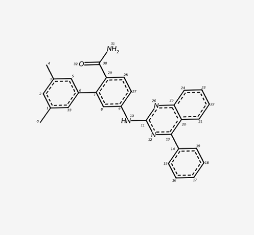 Cc1cc(C)cc(-c2cc(Nc3nc(-c4ccccc4)c4ccccc4n3)ccc2C(N)=O)c1